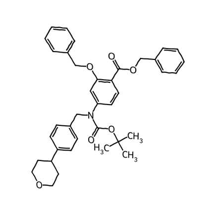 CC(C)(C)OC(=O)N(Cc1ccc(C2CCOCC2)cc1)c1ccc(C(=O)OCc2ccccc2)c(OCc2ccccc2)c1